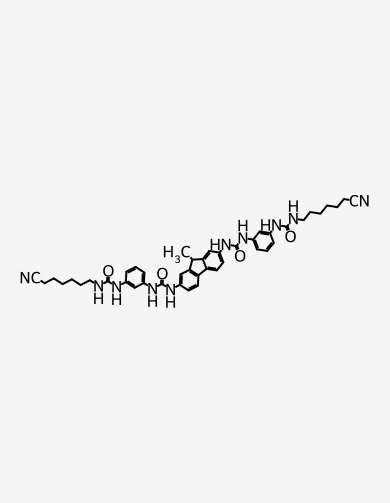 CC1c2cc(NC(=O)Nc3cccc(NC(=O)NCCCCCCC#N)c3)ccc2-c2ccc(NC(=O)Nc3cccc(NC(=O)NCCCCCCC#N)c3)cc21